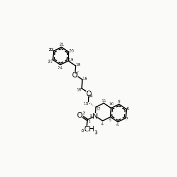 CC(=O)N1Cc2ccccc2C[C@H]1COCCOCc1ccccc1